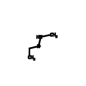 CC[N]NC